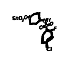 CCOC(=O)N1CCC(NS(=O)(=O)c2ccc(Cl)cc2F)CC1